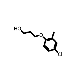 Cc1cc(Cl)ccc1OCCCO